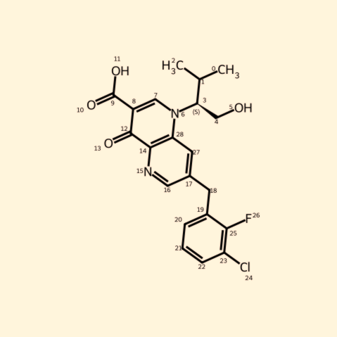 CC(C)[C@@H](CO)n1cc(C(=O)O)c(=O)c2ncc(Cc3cccc(Cl)c3F)cc21